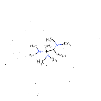 CCCCCCCC(N(C)C)C([SiH3])(N(C)C)N(C)C